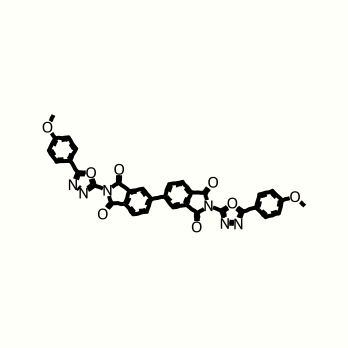 COc1ccc(-c2nnc(N3C(=O)c4ccc(-c5ccc6c(c5)C(=O)N(c5nnc(-c7ccc(OC)cc7)o5)C6=O)cc4C3=O)o2)cc1